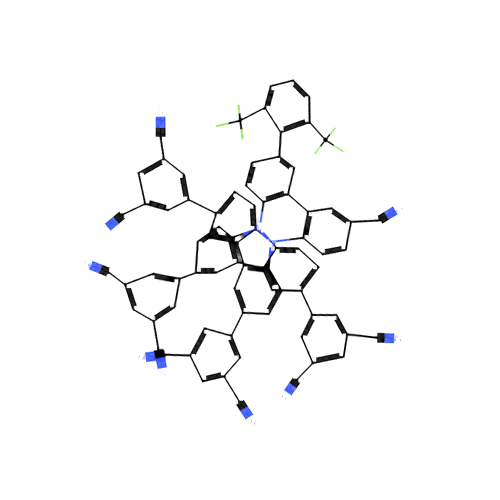 N#Cc1cc(C#N)cc(-c2ccc3c(c2)c2cc(-c4cc(C#N)cc(C#N)c4)ccc2n3-c2ccc(C#N)cc2-c2cc(-c3c(C(F)(F)F)cccc3C(F)(F)F)ccc2-n2c3ccc(-c4cc(C#N)cc(C#N)c4)cc3c3cc(-c4cc(C#N)cc(C#N)c4)ccc32)c1